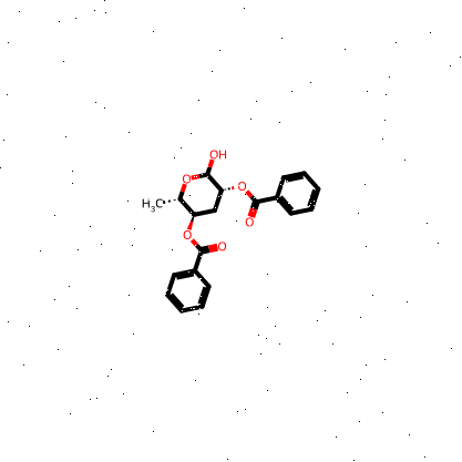 C[C@@H]1OC(O)[C@H](OC(=O)c2ccccc2)C[C@H]1OC(=O)c1ccccc1